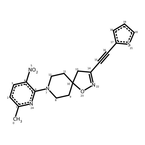 Cc1ccc([N+](=O)[O-])c(N2CCC3(CC2)CC(C#Cc2cccs2)=NO3)n1